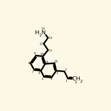 C=CCc1ccc2cccc(CCCN)c2c1